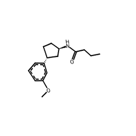 CCCC(=O)N[C@@H]1CC[C@@H](c2cccc(OC)c2)C1